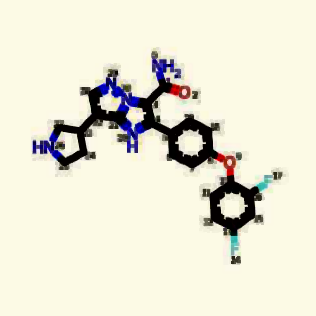 NC(=O)c1c(-c2ccc(Oc3ccc(F)cc3F)cc2)[nH]c2c(C3CCNC3)cnn12